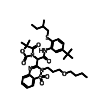 CCCCOCCCN1C(C(C(=O)Nc2cc(C(C)(C)C)ccc2SCC(C)CC)N2C(=O)OC(C)(C)C2=O)=Nc2ccccc2S1(=O)=O